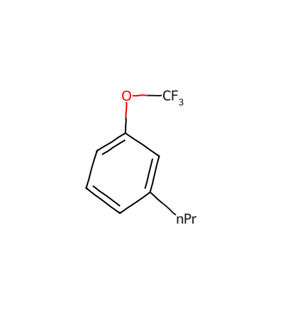 CCCc1cccc(OC(F)(F)F)c1